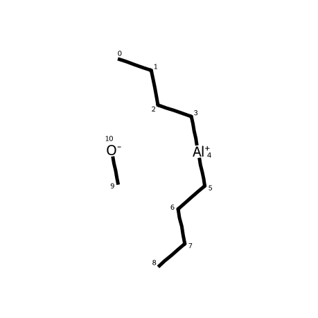 CCC[CH2][Al+][CH2]CCC.C[O-]